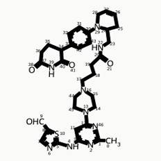 Cc1nc(Nc2ncc(C=O)s2)cc(N2CCN(CCCC(=O)NCC3CC=CCN3c3ccc(C4CCC(=O)NC4=O)cc3)CC2)n1